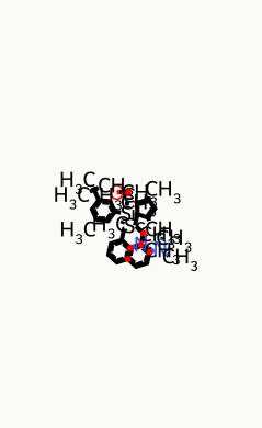 COc1c(C(C)(C)C)cc(C)cc1[Si](C)(C)[C]1([Sc]([CH2]c2ccccc2N(C)C)[CH2]c2ccccc2N(C)C)C(C)=CC(C)=C1C